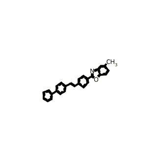 Cc1ccc2oc(-c3ccc(C=Cc4ccc(-c5ccccc5)cc4)cc3)nc2c1